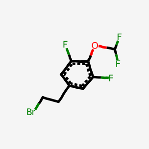 Fc1cc(CCBr)cc(F)c1OC(F)F